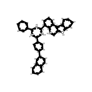 c1ccc(-c2nc(-c3ccc(-c4ccc5ccccc5c4)cc3)nc(-c3cccc4c3ncc3oc5ccccc5c34)n2)cc1